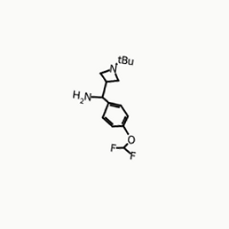 CC(C)(C)N1CC(C(N)c2ccc(OC(F)F)cc2)C1